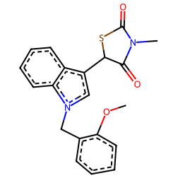 COc1ccccc1Cn1cc(C2SC(=O)N(C)C2=O)c2ccccc21